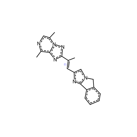 C/C(=C\c1cn2c(n1)-c1ccccc1C2)c1nc2c(C)ncc(C)n2n1